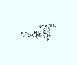 Cc1cc(OCC(F)(F)F)cnc1C(=O)Nc1cc(F)c(F)c([C@@]2(C)N=C(N)S[C@@]3(C#N)C[C@H]32)c1